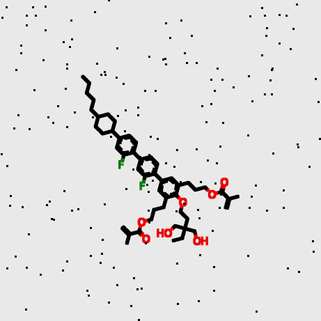 C=C(C)C(=O)OCCCc1cc(-c2ccc(-c3ccc(C4CCC(CCCCC)CC4)cc3F)cc2F)cc(CCCOC(=O)C(=C)C)c1OCCC(CC)(CO)CO